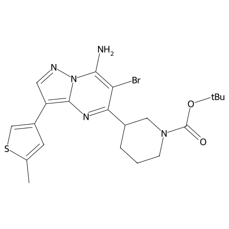 Cc1cc(-c2cnn3c(N)c(Br)c(C4CCCN(C(=O)OC(C)(C)C)C4)nc23)cs1